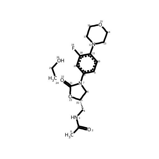 CC(=O)NC[C@H]1CN(c2ccc(N3CCOCC3)c(F)c2)C(=O)O1.CCO